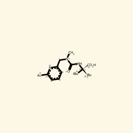 CC[C@H](C)[C@@](NC(=O)N(C)Cc1cccc(C(C)=O)n1)(C(=O)O)C(C)(C)C